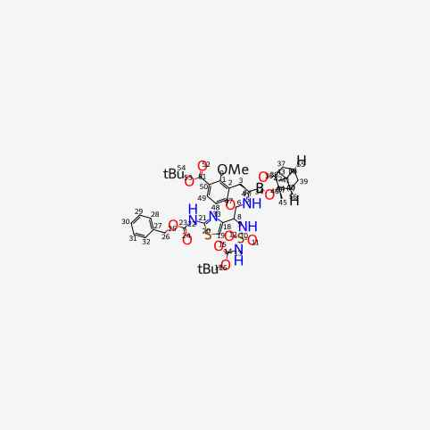 COc1c(C[C@H](NC(=O)C(NS(=O)(=O)NC(=O)OC(C)(C)C)c2csc(NC(=O)OCc3ccccc3)n2)B2OC3C[C@H]4C[C@@H](C4(C)C)[C@]3(C)O2)cccc1C(=O)OC(C)(C)C